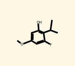 COc1cc(O)c(C(C)C)c(F)c1